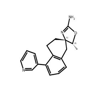 C[C@H]1OC(N)=N[C@]12CCc1c(cccc1-c1cccnc1)C2